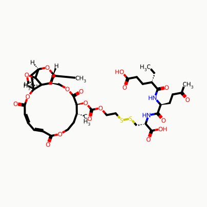 CC[C@@H](CCC(=O)O)C(=O)N[C@@H](CCC(C)=O)C(=O)N[C@@H](CSSCCOC(=O)O[C@@H]1C(=O)OC[C@]23CCC(C)=C[C@H]2O[C@@H]2C[C@@H](OC(=O)/C=C\C=C\C(=O)OCC[C@H]1C)[C@@]3(C)[C@]21CO1)C(=O)O